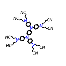 N#CCCCN(CCCC#N)c1ccc(N(c2ccc(N(CCCC#N)CCCC#N)cc2)c2ccc(N(c3ccc(N(CCCC#N)CCCC#N)cc3)c3ccc(N(CCCC#N)CCCC#N)cc3)cc2)cc1